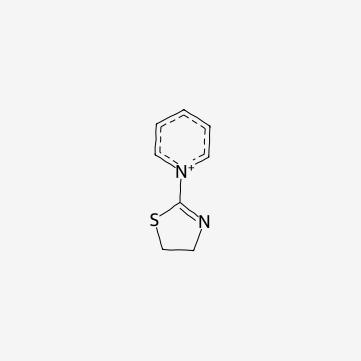 c1cc[n+](C2=NCCS2)cc1